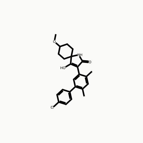 COC1CCC2(CC1)NC(=O)C(c1cc(-c3ccc(Cl)cc3)c(C)cc1C)=C2O